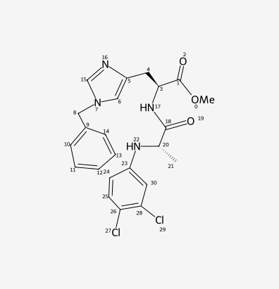 COC(=O)[C@H](Cc1cn(Cc2ccccc2)cn1)NC(=O)[C@H](C)Nc1ccc(Cl)c(Cl)c1